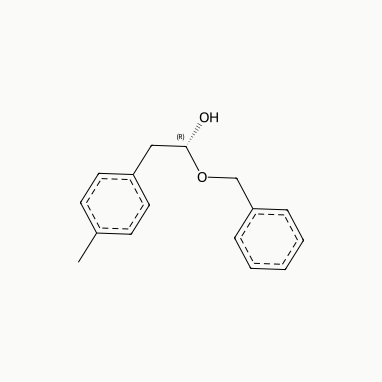 Cc1ccc(C[C@H](O)OCc2ccccc2)cc1